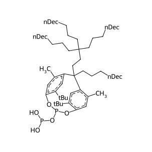 CCCCCCCCCCCCCC(CCCCCCCCCCCCC)(CCCCCCCCCCCCC)CCC1(CCCCCCCCCCCCC)c2cc(C(C)(C)C)c(cc2C)OP(OP(O)O)Oc2cc(C)c1cc2C(C)(C)C